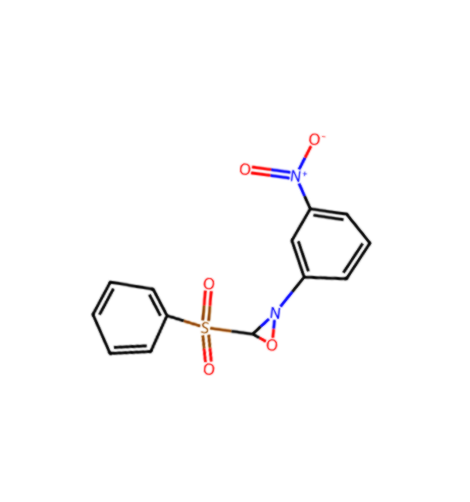 O=[N+]([O-])c1cccc(N2OC2S(=O)(=O)c2ccccc2)c1